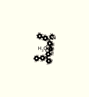 CC(C)(C)n1c(-c2ccc(N(c3ccc(-c4ccccc4)cc3)c3cccnc3)cc2F)ccc1-c1ccc(N(c2ccc(-c3ccccc3)cc2)c2cccnc2)cc1F